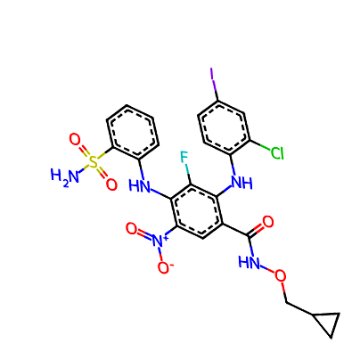 NS(=O)(=O)c1ccccc1Nc1c([N+](=O)[O-])cc(C(=O)NOCC2CC2)c(Nc2ccc(I)cc2Cl)c1F